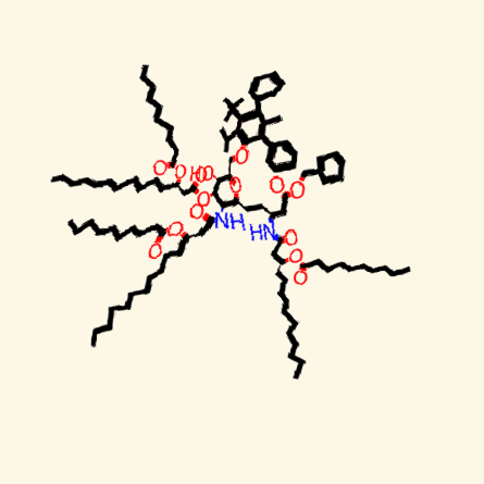 CCCCCCCCCCC[C@H](CC(=O)N[C@@H](CC[C@@H]1O[C@H](COc2c(-c3ccccc3)c(C)c(-c3ccccc3)c(C(C)(C)C)c2C(C)C)[C@@H](O)[C@H](OC(=O)C[C@@H](CCCCCCCCCCC)OC(=O)CCCCCCCCC)[C@H]1NC(=O)C[C@@H](CCCCCCCCCCC)OC(=O)CCCCCCCCC)CC(=O)OCc1ccccc1)OC(=O)CCCCCCCCC